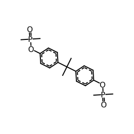 CC(C)(c1ccc(OP(C)(C)=O)cc1)c1ccc(OP(C)(C)=O)cc1